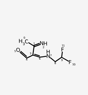 CC(=N)/C(C=O)=C\NCC(F)F